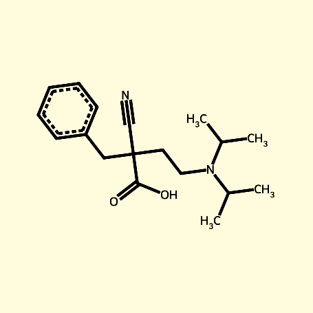 CC(C)N(CCC(C#N)(Cc1ccccc1)C(=O)O)C(C)C